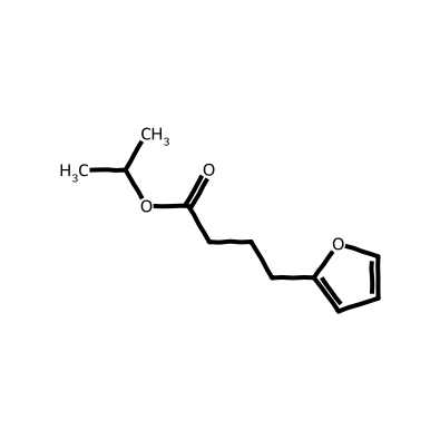 CC(C)OC(=O)CCCc1ccco1